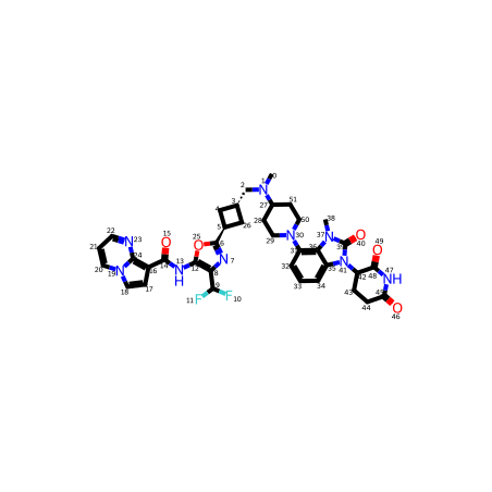 CN(C[C@H]1C[C@H](c2nc(C(F)F)c(NC(=O)c3ccn4cccnc34)o2)C1)C1CCN(c2cccc3c2n(C)c(=O)n3C2CCC(=O)NC2=O)CC1